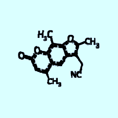 Cc1oc2c(C)c3oc(=O)cc(C)c3cc2c1CC#N